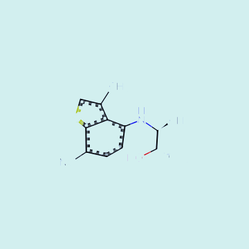 Cc1csc2c(C#N)ccc(N[C@@H](C)[C@H](C)O)c12